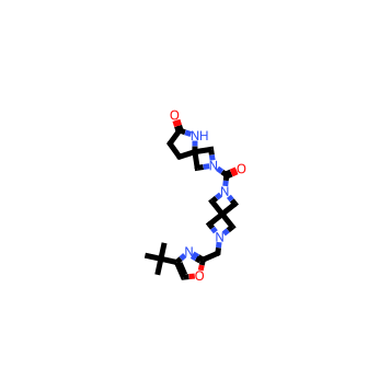 CC(C)(C)c1coc(CN2CC3(C2)CN(C(=O)N2CC4(CCC(=O)N4)C2)C3)n1